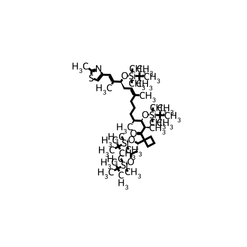 C/C(=C/C[C@H](O[Si](C)(C)C(C)(C)C)/C(C)=C/c1csc(C)n1)CCC[C@H](C)[C@H](O[Si](C)(C)C(C)(C)C)[C@@H](C)C(=O)C1([C@H](CCO[Si](C)(C)C(C)(C)C)O[Si](C)(C)C(C)(C)C)CCC1